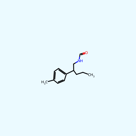 CCCC(CNC=O)c1ccc(C)cc1